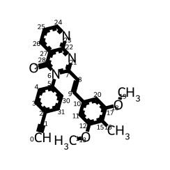 C#Cc1ccc(-n2c(/C=C/c3cc(OC)c(C)c(OC)c3)nc3ncccc3c2=O)cc1